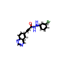 O=C(C#Cc1ccc2ncncc2c1)NNc1cccc(Br)c1